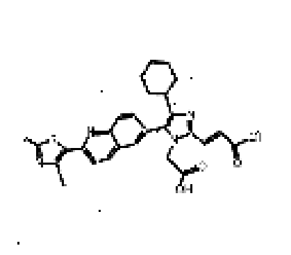 Cc1nc(C)c(-c2ccc3cc(-c4c(C5CCCCC5)nc(/C=C/C(=O)O)n4CC(=O)O)ccc3n2)s1